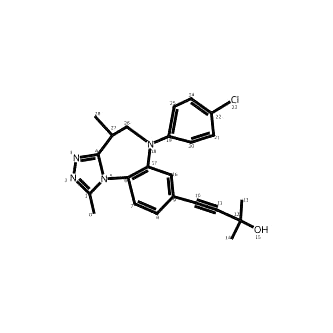 Cc1nnc2n1-c1ccc(C#CC(C)(C)O)cc1N(c1ccc(Cl)cc1)CC2C